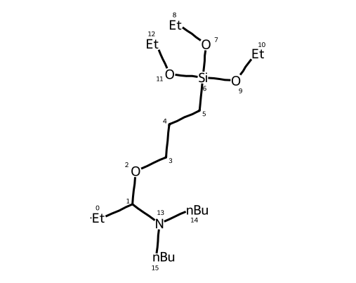 C[CH]C(OCCC[Si](OCC)(OCC)OCC)N(CCCC)CCCC